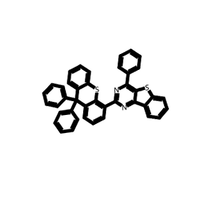 c1ccc(-c2nc(-c3cccc4c3Sc3ccccc3C4(c3ccccc3)c3ccccc3)nc3c2sc2ccccc23)cc1